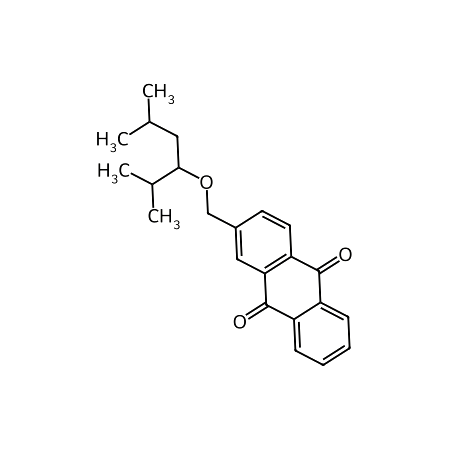 CC(C)CC(OCc1ccc2c(c1)C(=O)c1ccccc1C2=O)C(C)C